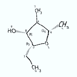 CC[C@H]1O[C@@H](C)C(C)[C@H]1O